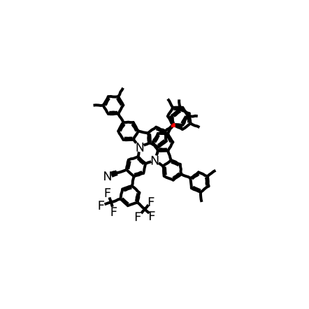 Cc1cc(C)cc(-c2ccc3c(c2)c2cc(-c4cc(C)cc(C)c4)ccc2n3-c2cc(C#N)c(-c3cc(C(F)(F)F)cc(C(F)(F)F)c3)cc2-n2c3ccc(-c4cc(C)cc(C)c4)cc3c3cc(-c4cc(C)cc(C)c4)ccc32)c1